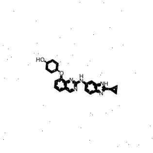 O[C@H]1CC[C@@H](Oc2cccc3cnc(Nc4ccc5nc(C6CC6)[nH]c5c4)nc23)CC1